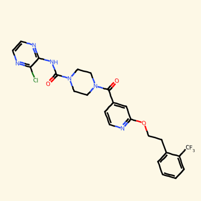 O=C(Nc1nccnc1Cl)N1CCN(C(=O)c2ccnc(OCCc3ccccc3C(F)(F)F)c2)CC1